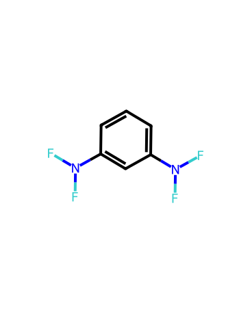 FN(F)c1cccc(N(F)F)c1